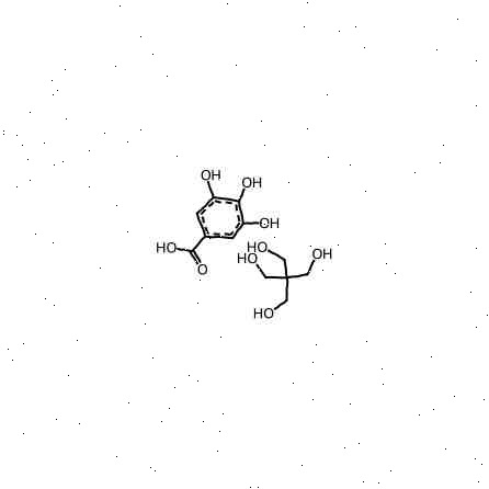 O=C(O)c1cc(O)c(O)c(O)c1.OCC(CO)(CO)CO